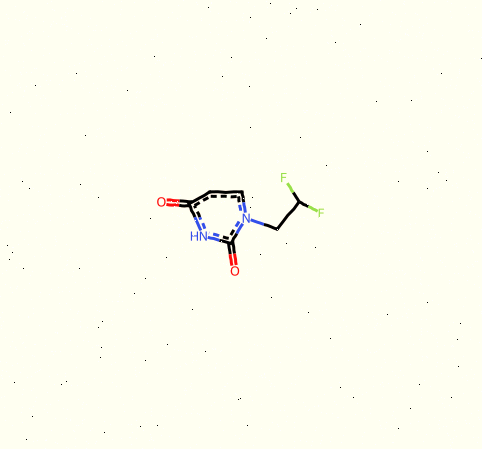 O=c1ccn(CC(F)F)c(=O)[nH]1